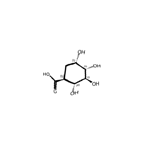 O=C(O)[C@H]1C[C@H](O)[C@H](O)[C@@H](O)[C@@H]1O